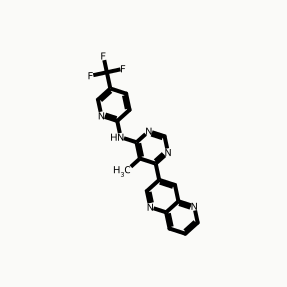 Cc1c(Nc2ccc(C(F)(F)F)cn2)ncnc1-c1cnc2cccnc2c1